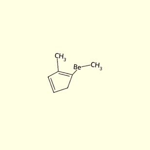 [CH3][Be][C]1=C(C)C=CC1